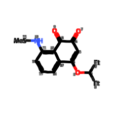 CCC(CC)OC1=CC(=O)C(=O)c2c(NSC)cccc21